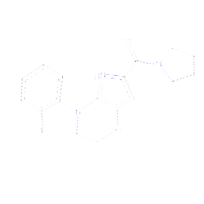 O=C(c1cc2c([nH]1)N(c1ccccc1F)CCO2)N1CCCC1